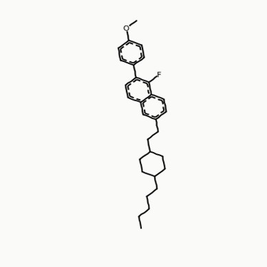 CCCCCC1CCC(CCc2ccc3c(F)c(-c4ccc(OC)cc4)ccc3c2)CC1